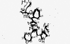 CCn1nccc1C(=O)N[C@H](c1cn2nc(C[C@H]3C[C@@H](C(F)(F)F)CNC3=O)c(N3CCOCC3)nc2n1)C1CCCCC1